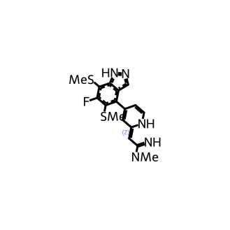 CNC(=N)/C=C1/C=C(c2c(SC)c(F)c(SC)c3[nH]ncc23)C=CN1